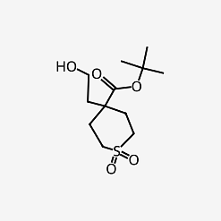 CC(C)(C)OC(=O)C1(CCO)CCS(=O)(=O)CC1